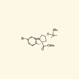 COC(=O)[C@]1(Cc2ccc(Br)cc2)C[C@@H](O[Si](C)(C)C(C)(C)C)CN1